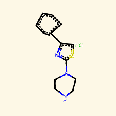 Cl.c1ccc(-c2csc(N3CCNCC3)n2)cc1